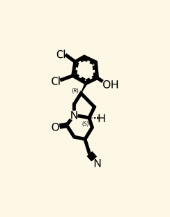 N#CC1CC(=O)N2C[C@@H](c3c(O)ccc(Cl)c3Cl)C[C@H]2C1